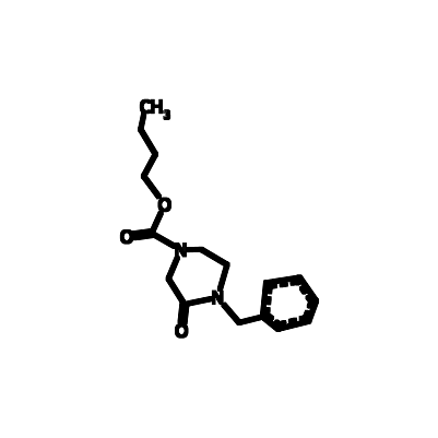 CCCCOC(=O)N1CCN(Cc2ccccc2)C(=O)C1